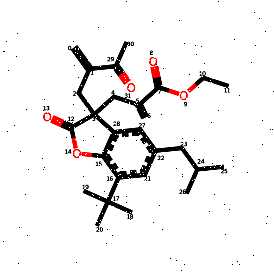 C=C(CC1(CC(=C)C(=O)OCC)C(=O)Oc2c(C(C)(C)C)cc(CC(C)C)cc21)C(C)=O